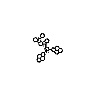 c1ccc(-n2c3ccccc3c3ccc4c(c5ccccc5n4-c4cc(-c5cc6c7c(ccc8cccc(c87)CC6)c5)nc(-c5cc6ccc7cccc8ccc(c5)c6c78)c4)c32)cc1